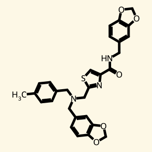 Cc1ccc(CN(Cc2ccc3c(c2)OCO3)Cc2nc(C(=O)NCc3ccc4c(c3)OCO4)cs2)cc1